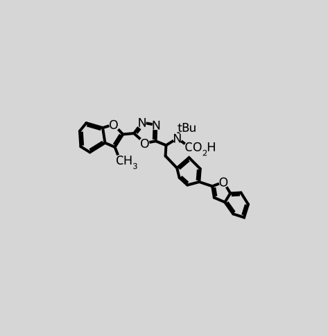 Cc1c(-c2nnc(C(Cc3ccc(-c4cc5ccccc5o4)cc3)N(C(=O)O)C(C)(C)C)o2)oc2ccccc12